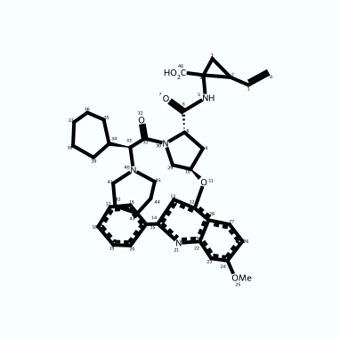 C=CC1CC1(NC(=O)[C@@H]1C[C@@H](Oc2cc(-c3ccccc3)nc3cc(OC)ccc23)CN1C(=O)[C@H](C1CCCCC1)N1CCCCC1)C(=O)O